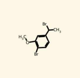 COc1cc(C(C)Br)ccc1Br